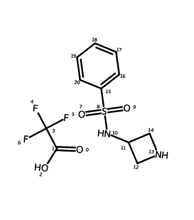 O=C(O)C(F)(F)F.O=S(=O)(NC1CNC1)c1ccccc1